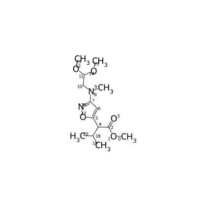 COC(=O)C(c1cc(N(C)CC(OC)OC)no1)C(C)C